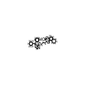 O=C(O)C(C=CCOc1nccn1C(c1ccccc1)c1ccccc1)Oc1cccc2c1CCCC2